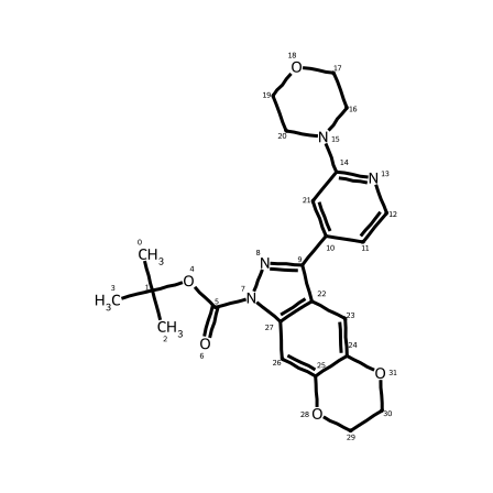 CC(C)(C)OC(=O)n1nc(-c2ccnc(N3CCOCC3)c2)c2cc3c(cc21)OCCO3